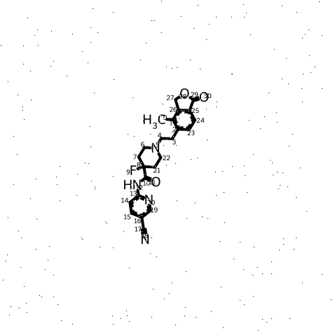 Cc1c(CCN2CCC(F)(C(=O)Nc3ccc(C#N)cn3)CC2)ccc2c1COC2=O